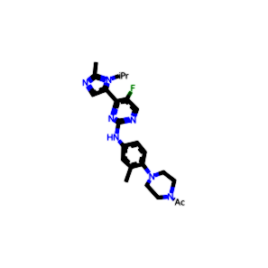 CC(=O)N1CCN(c2ccc(Nc3ncc(F)c(-c4cnc(C)n4C(C)C)n3)cc2C)CC1